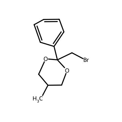 CC1COC(CBr)(c2ccccc2)OC1